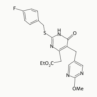 CCOC(=O)Cc1nc(SCc2ccc(F)cc2)[nH]c(=O)c1Cc1cnc(OC)nc1